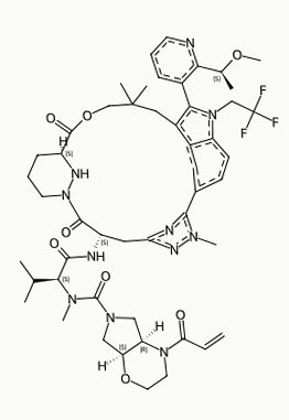 C=CC(=O)N1CCO[C@H]2CN(C(=O)N(C)[C@H](C(=O)N[C@H]3Cc4nc(n(C)n4)-c4ccc5c(c4)c(c(-c4cccnc4[C@H](C)OC)n5CC(F)(F)F)CC(C)(C)COC(=O)[C@@H]4CCCN(N4)C3=O)C(C)C)C[C@H]21